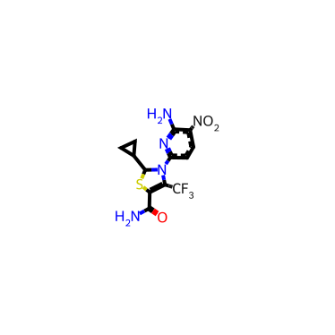 NC(=O)C1=C(C(F)(F)F)N(c2ccc([N+](=O)[O-])c(N)n2)C(C2CC2)S1